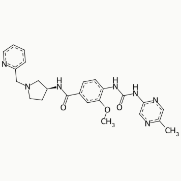 COc1cc(C(=O)N[C@H]2CCN(Cc3ccccn3)C2)ccc1NC(=O)Nc1cnc(C)cn1